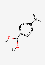 CCOC(OCC)c1ccc([SiH](C)C)cc1